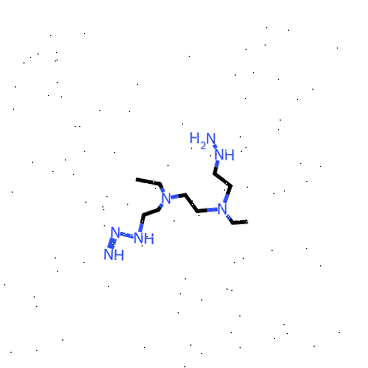 CCN(CCNN)CCN(CC)CCNN=N